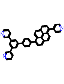 c1cncc(-c2cc(-c3ccc(-c4ccc5ccc6c(-c7ccncc7)ccc7ccc4c5c76)cc3)cc(-c3cccnc3)c2)c1